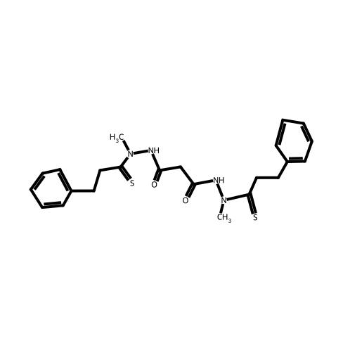 CN(NC(=O)CC(=O)NN(C)C(=S)CCc1ccccc1)C(=S)CCc1ccccc1